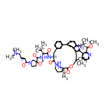 CCn1c(-c2cccnc2[C@H](C)OC)c2c3cc(ccc31)-c1cccc(c1)C[C@H](NC(=O)[C@H](C(C)C)N1CO[C@@]3(CCN(C(=O)/C=C/CN(C)C)C3)C1=O)C(=O)N1CCC[C@@]([SiH3])(N1)C(=O)OCC(C)(C)C2